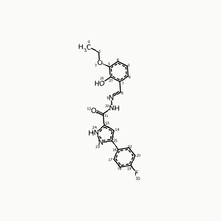 CCOc1cccc(/C=N/NC(=O)c2cc(-c3ccc(F)cc3)n[nH]2)c1O